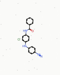 N#[N+]c1ccc(Nc2ccc(NC(=O)c3ccccc3)cc2)cc1.[Cl-]